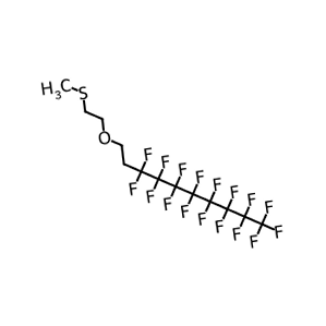 CSCCOCCC(F)(F)C(F)(F)C(F)(F)C(F)(F)C(F)(F)C(F)(F)C(F)(F)C(F)(F)F